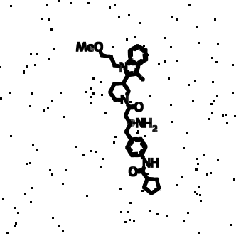 COCCCn1c(C2CCCN(C(=O)C[C@H](N)Cc3ccc(NC(=O)C4CCCC4)cc3)C2)c(C)c2ccccc21